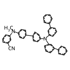 CN(c1ccc(-c2ccc(N(c3cccc(-c4ccccc4)c3)c3cccc(-c4ccccc4)c3)cc2)cc1)c1cccc(C#N)c1